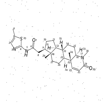 Cc1cnc(NC(=O)C[C@H]2CC[C@H]3[C@@H]4CC[C@H]5N(C)C(=O)C=C[C@]5(C)[C@H]4CC[C@]23C)s1